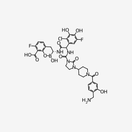 NCc1ccc(C(=O)N2CCC(N3CCN(C(=O)NC(C(=O)N[C@H]4Cc5ccc(F)c(C(=O)O)c5OB4O)c4cc(F)c(O)c(O)c4Cl)C3=O)CC2)cc1O